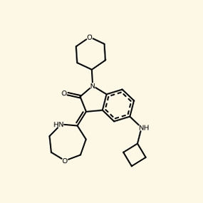 O=C1/C(=C2/CCOCCN2)c2cc(NC3CCC3)ccc2N1C1CCOCC1